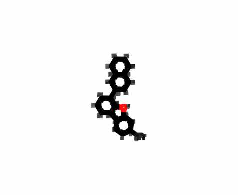 CC(C)c1ccc2c(c1)oc1c(-c3ccc4ccccc4c3)cccc12